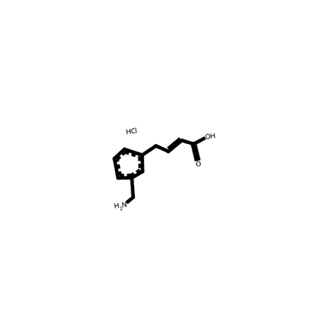 Cl.NCc1cccc(CC=CC(=O)O)c1